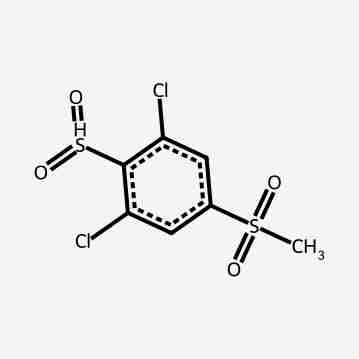 CS(=O)(=O)c1cc(Cl)c([SH](=O)=O)c(Cl)c1